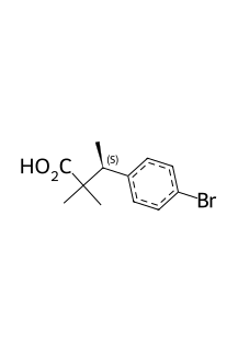 C[C@@H](c1ccc(Br)cc1)C(C)(C)C(=O)O